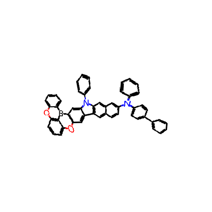 c1ccc(-c2ccc(N(c3ccccc3)c3ccc4cc5c6cc7c(cc6n(-c6ccccc6)c5cc4c3)B3c4ccccc4Oc4cccc(c43)O7)cc2)cc1